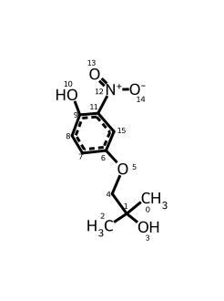 CC(C)(O)COc1ccc(O)c([N+](=O)[O-])c1